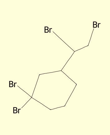 BrCC(Br)C1CCCC(Br)(Br)C1